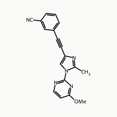 COc1ccnc(-n2cc(C#Cc3cccc(C#N)c3)nc2C)n1